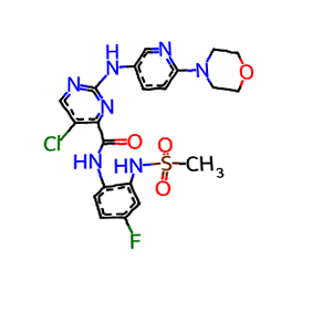 CS(=O)(=O)Nc1cc(F)ccc1NC(=O)c1nc(Nc2ccc(N3CCOCC3)nc2)ncc1Cl